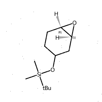 CC(C)(C)[Si](C)(C)OC1CC[C@H]2O[C@H]2C1